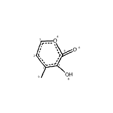 Cc1ccoc(=O)c1O